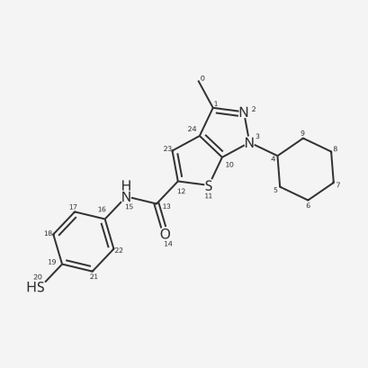 Cc1nn(C2CCCCC2)c2sc(C(=O)Nc3ccc(S)cc3)cc12